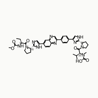 CC[C@H](NC(=O)OC)C(=O)N1CCC[C@H]1c1ncc(-c2ccc3nc(-c4ccc(-c5c[nH]c([C@@H]6CCCN6C(=O)[C@H](C(C)C)N(C)C(=O)O)n5)cc4)cnc3c2)[nH]1